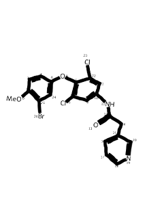 COc1ccc(Oc2c(Cl)cc(NC(=O)Cc3cccnc3)cc2Cl)cc1Br